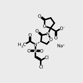 CC(=O)N([C@H]1CON(C2(C(=O)[O-])CCC(=O)O2)C1=O)S(=O)(=O)C=C(Cl)Cl.[Na+]